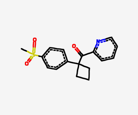 CS(=O)(=O)c1ccc(C2(C(=O)c3ccccn3)CCC2)cc1